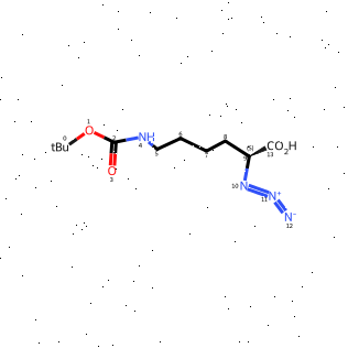 CC(C)(C)OC(=O)NCCCC[C@H](N=[N+]=[N-])C(=O)O